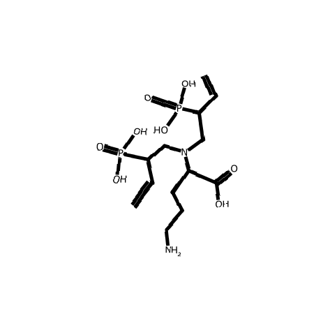 C=CC(CN(CC(C=C)P(=O)(O)O)C(CCCN)C(=O)O)P(=O)(O)O